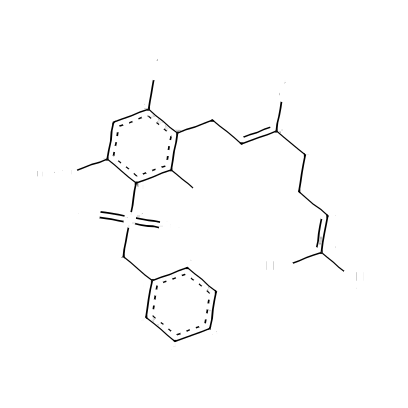 CCCCCc1cc(O)c(C/C=C(\C)CCC=C(C)C)c(O)c1S(=O)(=O)Cc1ccccc1